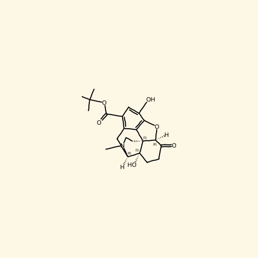 CN1CC[C@]23c4c5c(C(=O)OC(C)(C)C)cc(O)c4O[C@H]2C(=O)CC[C@@]3(O)[C@H]1C5